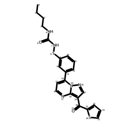 CCCCNC(=O)NSc1cccc(-c2ccnc3c(C(=O)c4cccs4)cnn23)c1